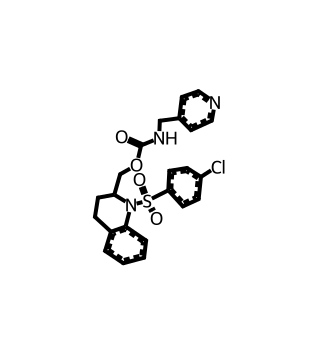 O=C(NCc1ccncc1)OCC1CCc2ccccc2N1S(=O)(=O)c1ccc(Cl)cc1